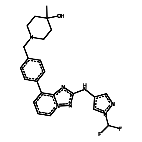 CC1(O)CCN(Cc2ccc(-c3cccn4nc(Nc5cnn(C(F)F)c5)nc34)cc2)CC1